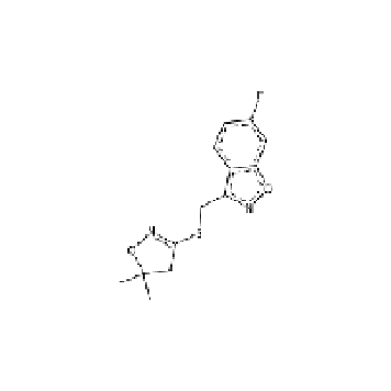 CC1(C)CC(SCc2noc3cc(F)ccc23)=NO1